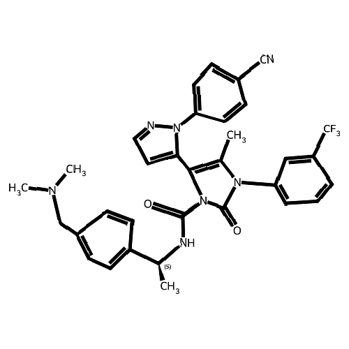 Cc1c(-c2ccnn2-c2ccc(C#N)cc2)n(C(=O)N[C@@H](C)c2ccc(CN(C)C)cc2)c(=O)n1-c1cccc(C(F)(F)F)c1